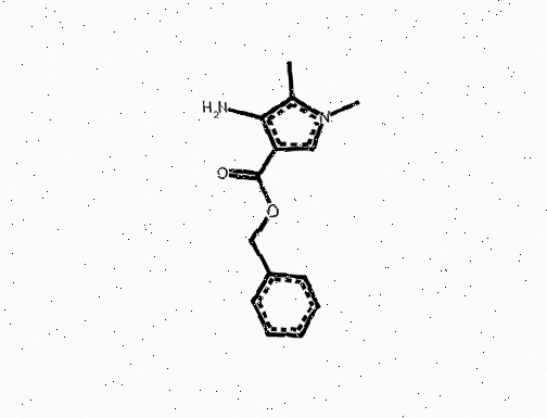 Cc1c(N)c(C(=O)OCc2ccccc2)cn1C